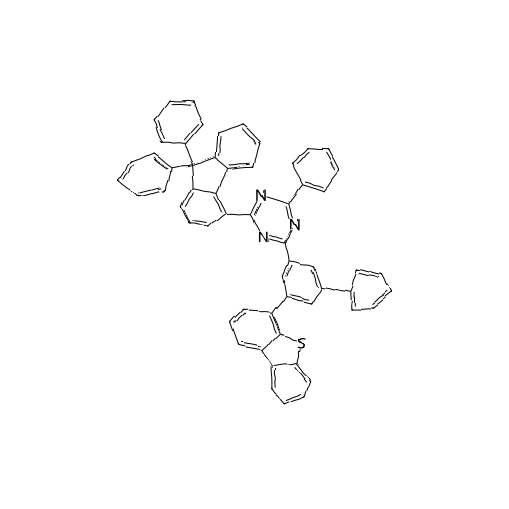 c1ccc(-c2cc(-c3nc(-c4ccccc4)nc(-c4cccc5c4-c4ccccc4C5(c4ccccc4)c4ccccc4)n3)cc(-c3cccc4c3sc3ccccc34)c2)cc1